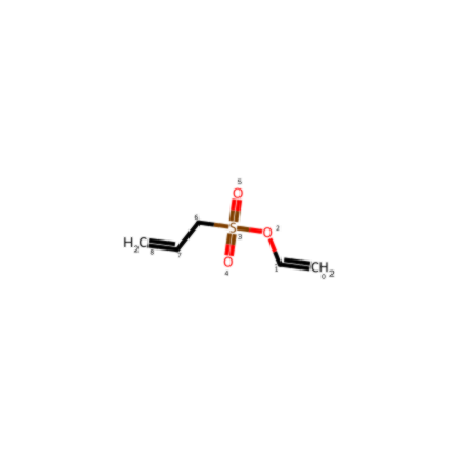 C=[C]OS(=O)(=O)CC=C